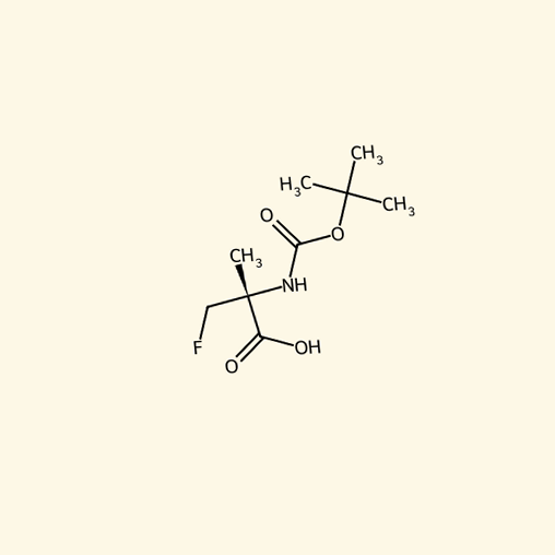 CC(C)(C)OC(=O)N[C@@](C)(CF)C(=O)O